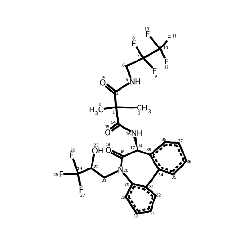 CC(C)(C(=O)NCC(F)(F)C(F)(F)F)C(=O)N[C@@H]1C(=O)N(CC(O)C(F)(F)F)c2ccccc2-c2ccccc21